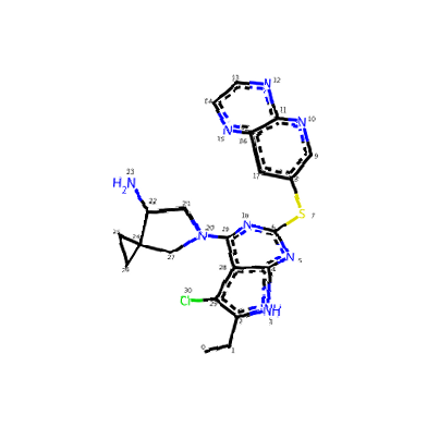 CCc1[nH]c2nc(Sc3cnc4nccnc4c3)nc(N3CC(N)C4(CC4)C3)c2c1Cl